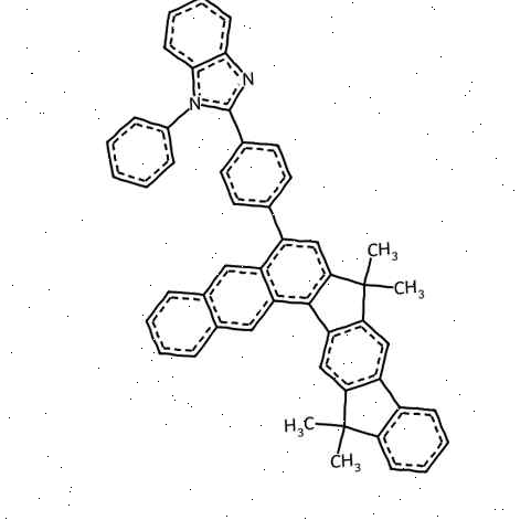 CC1(C)c2ccccc2-c2cc3c(cc21)-c1c(cc(-c2ccc(-c4nc5ccccc5n4-c4ccccc4)cc2)c2cc4ccccc4cc12)C3(C)C